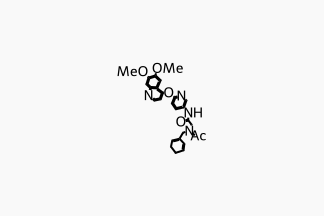 COc1cc2nccc(Oc3ccc(NC(=O)CN(CC4=CCCC=C4)C(C)=O)cn3)c2cc1OC